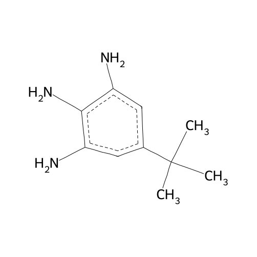 CC(C)(C)c1cc(N)c(N)c(N)c1